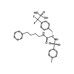 Cc1ccc(S(=O)(=O)N[C@@H](Cc2ccc(C(F)(F)P(=O)(O)O)cc2)C(=O)NCCCCc2ccccc2)cc1